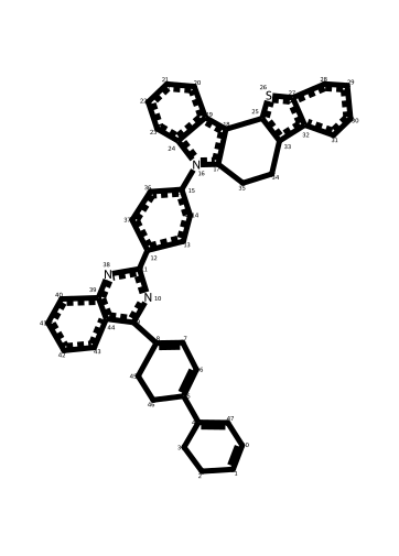 C1=CCCC(C2=CC=C(c3nc(-c4ccc(-n5c6c(c7ccccc75)-c5sc7ccccc7c5CC6)cc4)nc4ccccc34)CC2)=C1